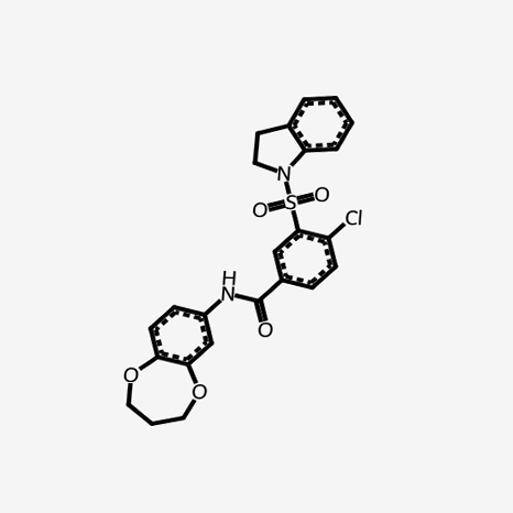 O=C(Nc1ccc2c(c1)OCCCO2)c1ccc(Cl)c(S(=O)(=O)N2CCc3ccccc32)c1